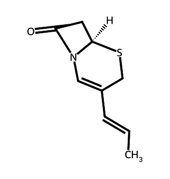 C/C=C/C1=CN2C(=O)C[C@H]2SC1